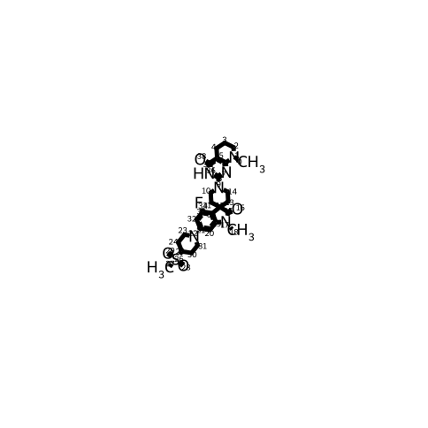 CN1CCCc2c1nc(N1CCC3(CC1)C(=O)N(C)c1cc(N4CCC(S(C)(=O)=O)CC4)cc(F)c13)[nH]c2=O